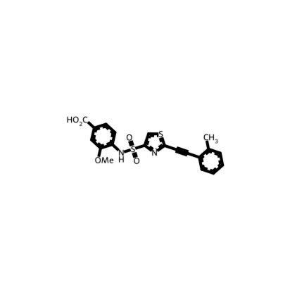 COc1cc(C(=O)O)ccc1NS(=O)(=O)c1csc(C#Cc2ccccc2C)n1